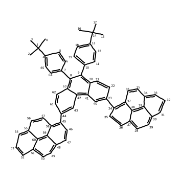 CC(C)(C)c1ccc(-c2c(-c3ccc(C(C)(C)C)cc3)c3ccc(-c4ccc5ccc6cccc7ccc4c5c67)cc3c3cc(-c4ccc5ccc6cccc7ccc4c5c67)ccc23)cc1